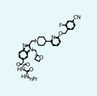 CCCNC(=O)NS(=O)(=O)c1ccc2nc(CN3CCC(c4cccc(OCc5ccc(C#N)cc5F)n4)CC3)n(C[C@@H]3CCO3)c2c1